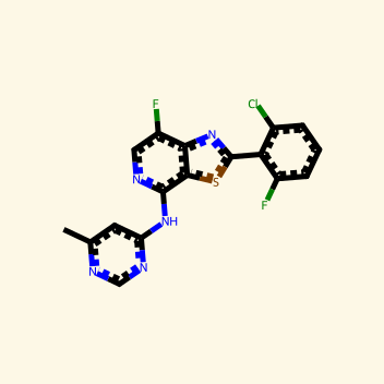 Cc1cc(Nc2ncc(F)c3nc(-c4c(F)cccc4Cl)sc23)ncn1